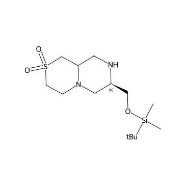 CC(C)(C)[Si](C)(C)OC[C@H]1CN2CCS(=O)(=O)CC2CN1